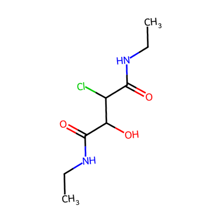 CCNC(=O)C(O)C(Cl)C(=O)NCC